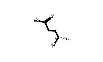 [2H][C@H](O)CCC(=O)O